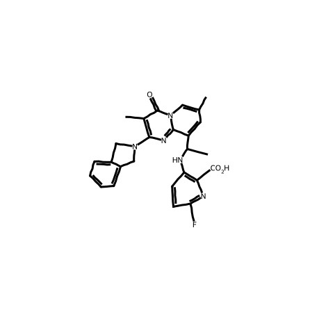 Cc1cc(C(C)Nc2ccc(F)nc2C(=O)O)c2nc(N3Cc4ccccc4C3)c(C)c(=O)n2c1